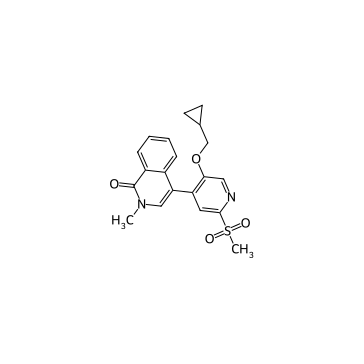 Cn1cc(-c2cc(S(C)(=O)=O)ncc2OCC2CC2)c2ccccc2c1=O